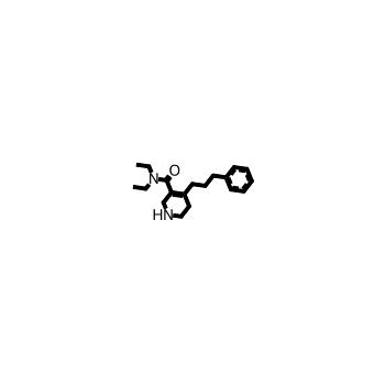 CCN(CC)C(=O)C1=C(CCCc2ccccc2)CCNC1